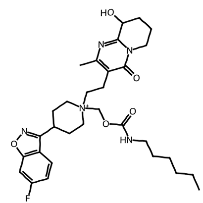 CCCCCCNC(=O)OC[N+]1(CCc2c(C)nc3n(c2=O)CCCC3O)CCC(c2noc3cc(F)ccc23)CC1